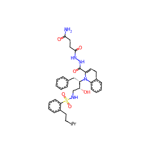 CC(C)CCc1ccccc1S(=O)(=O)NC[C@@H](O)[C@H](Cc1ccccc1)N1C(C(=O)NNC(=O)CCC(N)=O)=CCc2ccccc21